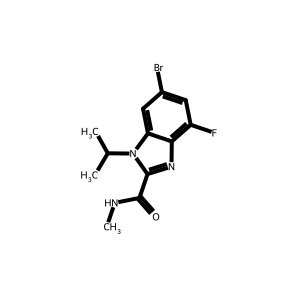 CNC(=O)c1nc2c(F)cc(Br)cc2n1C(C)C